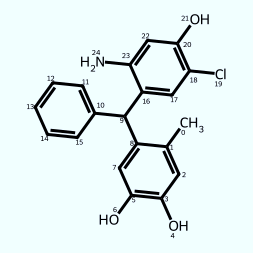 Cc1cc(O)c(O)cc1C(c1ccccc1)c1cc(Cl)c(O)cc1N